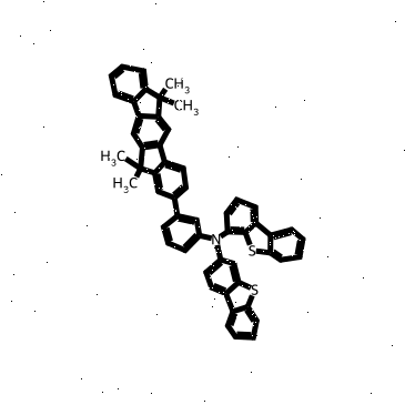 CC1(C)c2ccccc2-c2cc3c(cc21)-c1ccc(-c2cccc(N(c4ccc5c(c4)sc4ccccc45)c4cccc5c4sc4ccccc45)c2)cc1C3(C)C